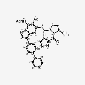 CC(=O)Nc1c(C(C)=O)c(CC[C@H]2CC[C@@H](C)N2C(=O)c2nnc[nH]2)nc2c(-c3ccc(-c4ccccc4)nc3)cnn12